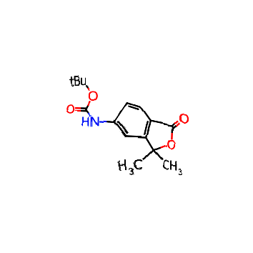 CC(C)(C)OC(=O)Nc1ccc2c(c1)C(C)(C)OC2=O